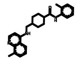 Cc1ccccc1NC(=O)C1CCC(CNc2ccnc3c(C)cccc23)CC1